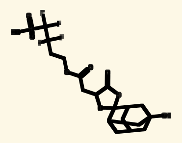 O=C(CC1OC2(OC1=O)C1CC3CC2CC(O)(C3)C1)OCCC(F)(F)C(F)(F)S(=O)(=O)O